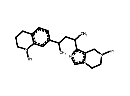 CC(CC(C)c1ncn2c1CN(C(C)C)CC2)c1ccc2c(c1)N(C(C)C)CCC2